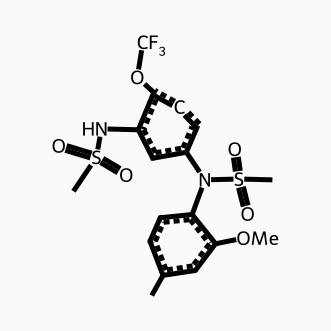 COc1cc(C)ccc1N(c1ccc(OC(F)(F)F)c(NS(C)(=O)=O)c1)S(C)(=O)=O